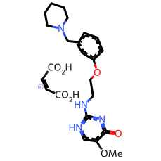 COc1c[nH]c(NCCOc2cccc(CN3CCCCC3)c2)nc1=O.O=C(O)/C=C\C(=O)O